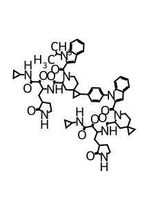 CC(C)n1c(C(=O)N2CCC3(CC2C(=O)NC(CC2CCNC2=O)C(=O)C(=O)NC2CC2)CC3c2ccc(-n3c(C(=O)N4CCC5(CC5)CC4C(=O)NC(CC4CCNC4=O)C(=O)C(=O)NC4CC4)cc4ccccc43)cc2)cc2ccccc21